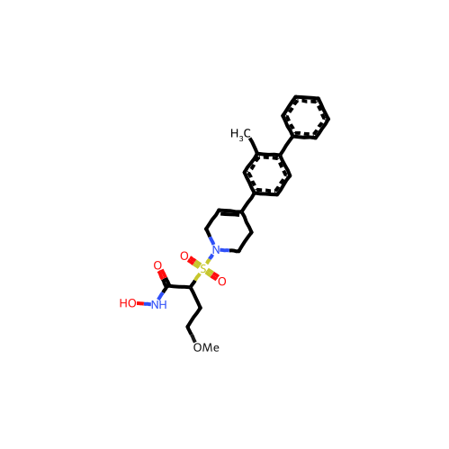 COCCC(C(=O)NO)S(=O)(=O)N1CC=C(c2ccc(-c3ccccc3)c(C)c2)CC1